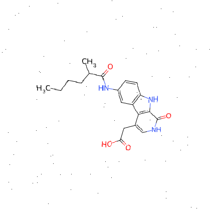 CCCCC(C)C(=O)Nc1ccc2[nH]c3c(=O)[nH]cc(CC(=O)O)c3c2c1